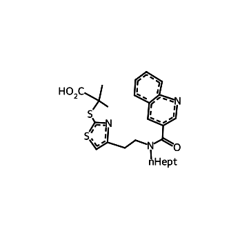 CCCCCCCN(CCc1csc(SC(C)(C)C(=O)O)n1)C(=O)c1cnc2ccccc2c1